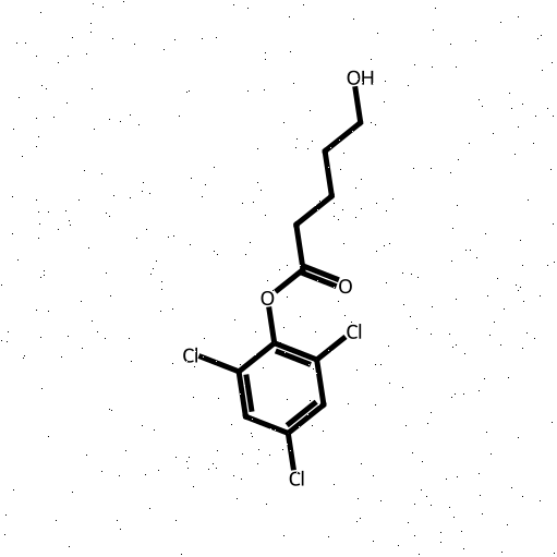 O=C(CCCCO)Oc1c(Cl)cc(Cl)cc1Cl